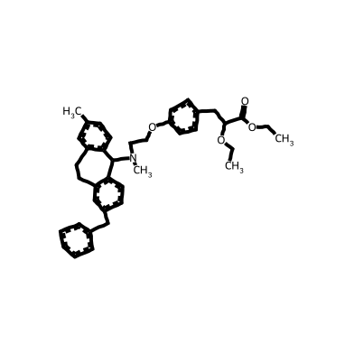 CCOC(=O)C(Cc1ccc(OCCN(C)C2c3ccc(C)cc3CCc3cc(Cc4ccccc4)ccc32)cc1)OCC